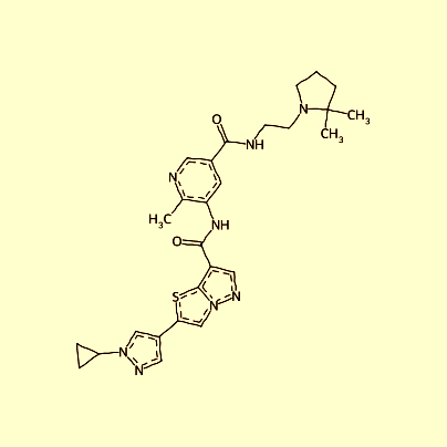 Cc1ncc(C(=O)NCCN2CCCC2(C)C)cc1NC(=O)c1cnn2cc(-c3cnn(C4CC4)c3)sc12